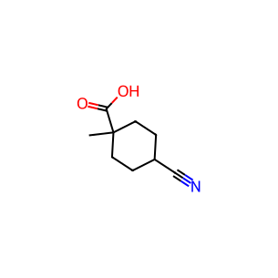 CC1(C(=O)O)CCC(C#N)CC1